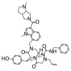 C=CCN1CC(=O)N2[C@@H](Cc3ccc(O)cc3)C(=O)N(Cc3cccc4c(C(=O)N5CC6CCN(C)C6C5)cn(C)c34)C[C@@H]2N1C(=O)NCc1ccccc1